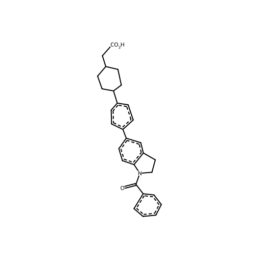 O=C(O)CC1CCC(c2ccc(-c3ccc4c(c3)CCN4C(=O)c3ccccc3)cc2)CC1